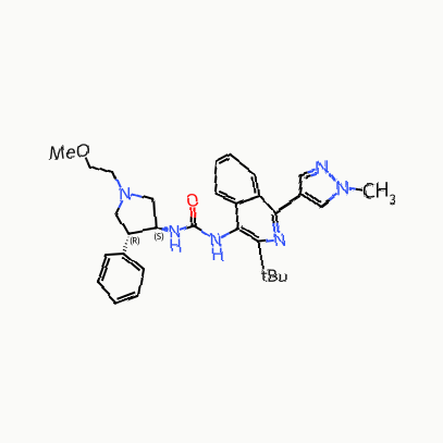 COCCN1C[C@@H](NC(=O)Nc2c(C(C)(C)C)nc(-c3cnn(C)c3)c3ccccc23)[C@H](c2ccccc2)C1